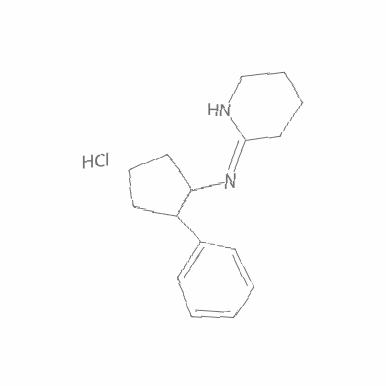 Cl.c1ccc(C2CCCC2N=C2CCCCN2)cc1